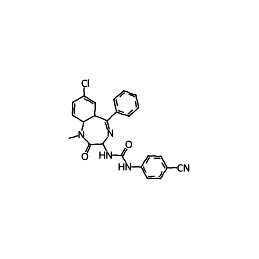 CN1C(=O)C(NC(=O)Nc2ccc(C#N)cc2)N=C(c2ccccc2)C2C=C(Cl)C=CC21